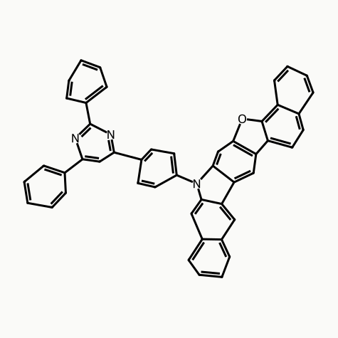 c1ccc(-c2cc(-c3ccc(-n4c5cc6ccccc6cc5c5cc6c(cc54)oc4c5ccccc5ccc64)cc3)nc(-c3ccccc3)n2)cc1